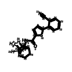 C[C@H]1[C@H](NC(=O)c2ccc(-c3ccccc3C#N)s2)C2CCN1CC2